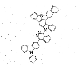 c1ccc(-n2c3ccccc3c3cc(-c4nnc(-n5c6ccccc6c6c7c8cc9ccccc9cc8n8c9ccccc9c(cc65)c78)c5ccccc45)ccc32)cc1